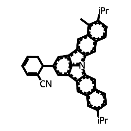 Cc1c(C(C)C)ccc2cc3c(cc12)c1cc(C2CC=CC=C2C#N)cc2c4cc5cc(C(C)C)ccc5cc4n3c21